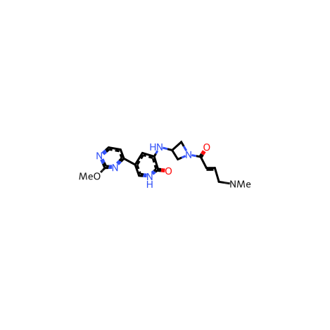 CNCC=CC(=O)N1CC(Nc2cc(-c3ccnc(OC)n3)c[nH]c2=O)C1